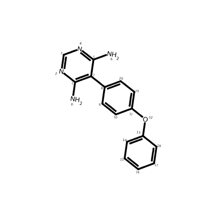 Nc1ncnc(N)c1-c1ccc(Oc2ccccc2)cc1